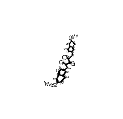 COc1ccc2cc(CC(Cl)C(=O)C(Cl)Cc3ccc4cc(OC)ccc4c3)ccc2c1